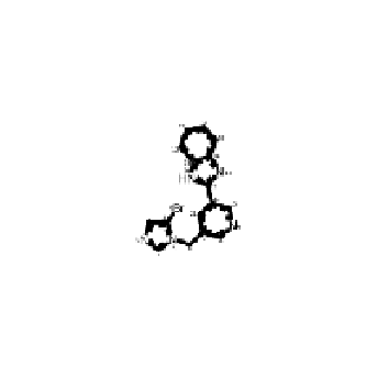 Brc1cncn1Cc1cncc(-c2nc3ccccc3[nH]2)c1